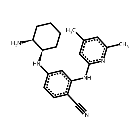 Cc1cc(C)nc(Nc2cc(N[C@@H]3CCCC[C@@H]3N)ccc2C#N)c1